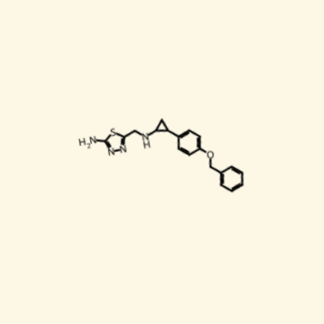 Nc1nnc(CNC2CC2c2ccc(OCc3ccccc3)cc2)s1